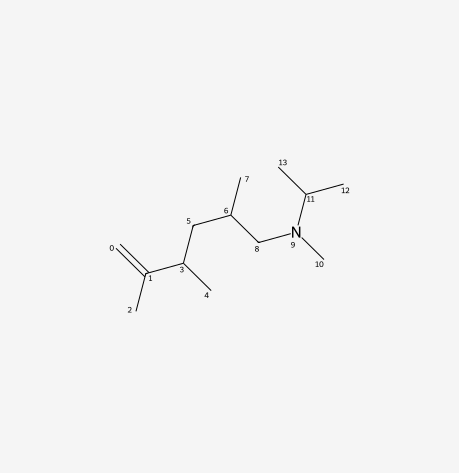 C=C(C)C(C)CC(C)CN(C)C(C)C